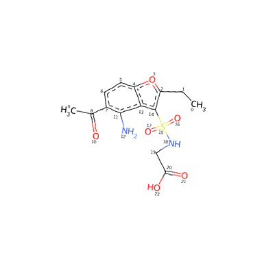 CCc1oc2ccc(C(C)=O)c(N)c2c1S(=O)(=O)NCC(=O)O